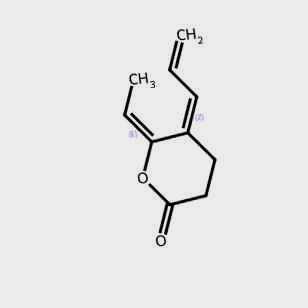 C=C/C=C1/CCC(=O)O/C1=C/C